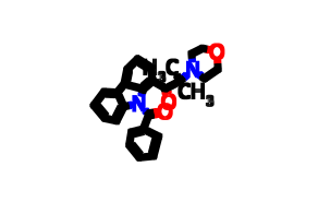 CC(C)(C(=O)c1cccc2c3ccccc3n(C(=O)c3ccccc3)c12)N1CCOCC1